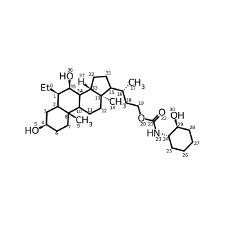 CC[C@@H]1C2C[C@H](O)CCC2(C)C2CC[C@]3(C)C([C@H](C)CCOC(=O)N[C@H]4CCCC[C@@H]4O)CC[C@H]3C2[C@@H]1O